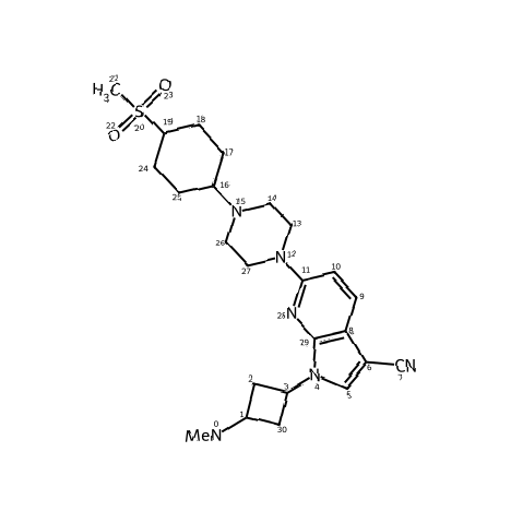 CNC1CC(n2cc(C#N)c3ccc(N4CCN(C5CCC(S(C)(=O)=O)CC5)CC4)nc32)C1